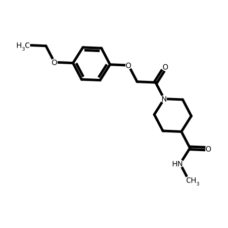 CCOc1ccc(OCC(=O)N2CCC(C(=O)NC)CC2)cc1